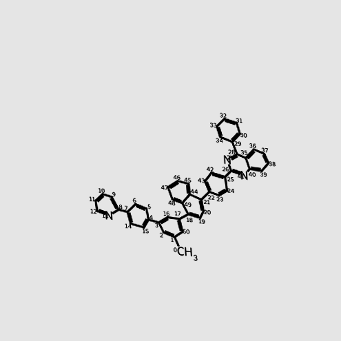 Cc1cc(-c2ccc(-c3ccccn3)cc2)cc(-c2ccc(-c3ccc(-c4nc(-c5ccccc5)c5ccccc5n4)cc3)c3ccccc23)c1